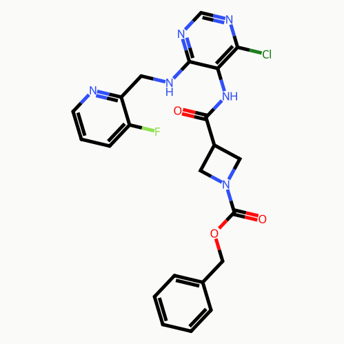 O=C(Nc1c(Cl)ncnc1NCc1ncccc1F)C1CN(C(=O)OCc2ccccc2)C1